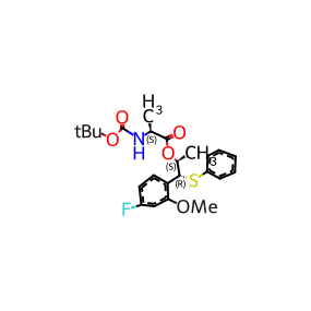 COc1cc(F)ccc1[C@@H](Sc1ccccc1)[C@H](C)OC(=O)[C@H](C)NC(=O)OC(C)(C)C